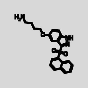 NCCCCOc1ccc2[nH]nc(S(=O)(=O)c3cccc4ccccc34)c2c1